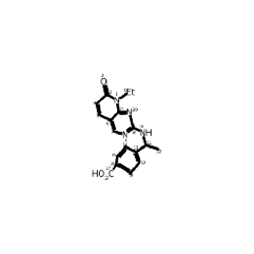 CCn1c(=O)ccc2cnc(NC(C)c3ccc(C(=O)O)cc3)nc21